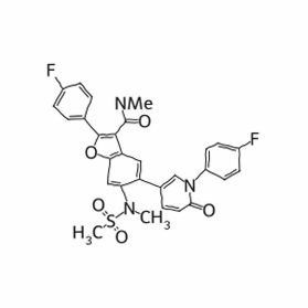 CNC(=O)c1c(-c2ccc(F)cc2)oc2cc(N(C)S(C)(=O)=O)c(-c3ccc(=O)n(-c4ccc(F)cc4)c3)cc12